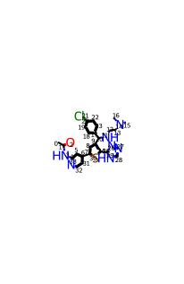 CC(=O)Nc1cc(-c2cc(C(NCCN(C)C)c3ccc(Cl)cc3)c(-c3nnc[nH]3)s2)ccn1